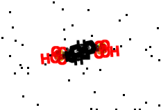 C[C@]12CC[C@H]3[C@@H](CCC4C[C@@H](OS(=O)(=O)O)CC[C@@]43C)[C@@H]1CC[C@H]2OS(=O)(=O)O